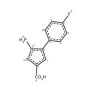 O=C(O)c1cc(-c2ccc(F)cc2)n(P)n1